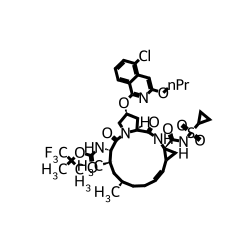 CCCOc1cc2c(Cl)cccc2c(O[C@@H]2C[C@H]3C(=O)N[C@]4(C(=O)NS(=O)(=O)C5CC5)CC4/C=C\CC[C@@H](C)C[C@@H](C)[C@H](NC(=O)OC(C)(C)C(F)(F)F)C(=O)N3C2)n1